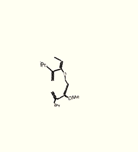 C=C(/C(=C\CO/C(=C/C)C(=C)C(C)C)OC)C(C)C